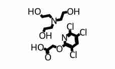 O=C(O)COc1nc(Cl)c(Cl)cc1Cl.OCCN(CCO)CCO